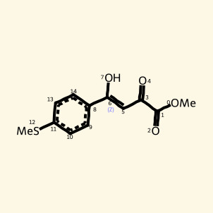 COC(=O)C(=O)/C=C(\O)c1ccc(SC)cc1